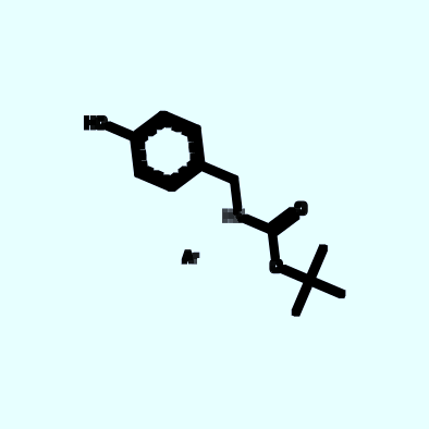 CC(C)(C)OC(=O)NCc1ccc(O)cc1.[Ar]